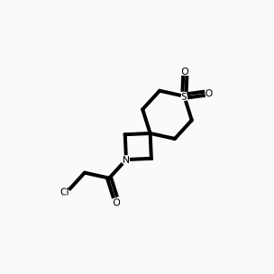 O=C(CCl)N1CC2(CCS(=O)(=O)CC2)C1